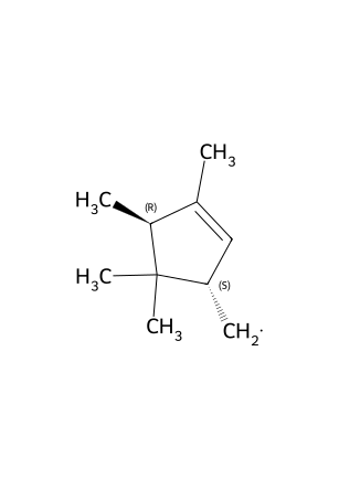 [CH2][C@H]1C=C(C)[C@H](C)C1(C)C